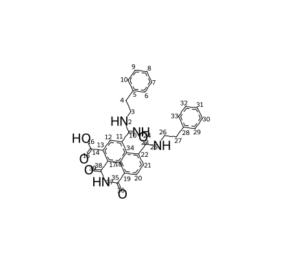 N=C(NCCc1ccccc1)c1cc(C(=O)O)c2c3c(ccc(C(=O)NCCc4ccccc4)c13)C(=O)NC2=O